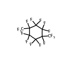 FC(F)(F)C1(F)C(F)(F)C(F)(F)C(F)(C(F)(F)F)C(F)(F)C1(F)F